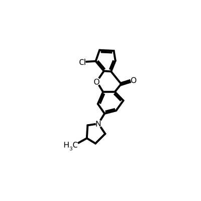 CC1CCN(c2ccc3c(=O)c4cccc(Cl)c4oc3c2)C1